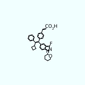 O=C(O)C=Cc1ccc(C(=C(c2ccccc2)C2CCC2)c2ccc3c(c2)c(F)nn3C2CCCCO2)cc1